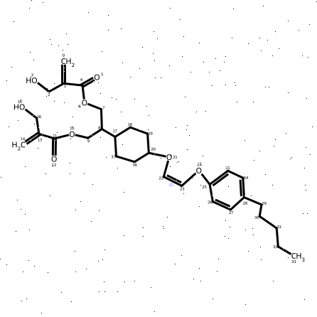 C=C(CO)C(=O)OCC(COC(=O)C(=C)CO)C1CCC(O/C=C\Oc2ccc(CCCCC)cc2)CC1